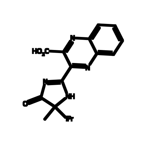 CC(C)C1(C)NC(c2nc3ccccc3nc2C(=O)O)=NC1=O